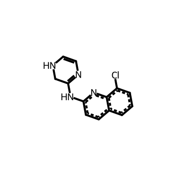 Clc1cccc2ccc(NC3=NC=CNC3)nc12